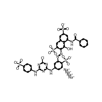 O=C(Nc1cc(S(=O)(=O)[O-])cc2cc(S(=O)(=O)[O-])c(/N=N/c3cc(Nc4nc(Cl)nc(Nc5ccc(S(=O)(=O)[O-])cc5)n4)ccc3S(=O)(=O)[O-])c(O)c12)c1ccccc1.[Na+].[Na+].[Na+].[Na+]